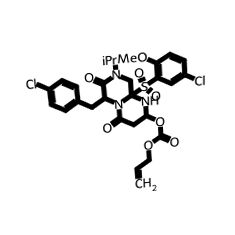 C=CCOC(=O)OC1CC(=O)N2C(Cc3ccc(Cl)cc3)C(=O)N(C(C)C)CC2(S(=O)(=O)c2cc(Cl)ccc2OC)N1